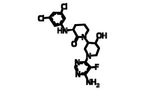 Nc1ncnc(N2CCC(O)C(N3CCC[C@H](Nc4cc(Cl)cc(Cl)c4)C3=O)C2)c1F